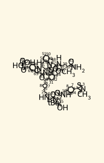 Cc1ncsc1-c1ccc(CNC(=O)[C@@H]2C[C@@H](O)CN2C(=O)[C@@H](NCCC2CC(Cc3ccc(CO[C@H](C)[C@H](CCC(N)=O)NC(=O)[C@@H]4Cc5cccc6c5N4C(=O)[C@@H](NC(=O)c4cc5cc(C(=O)P(=O)(O)O)ccc5[nH]4)CC6)cc3)C2)C(C)(C)C)cc1